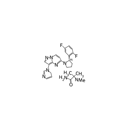 CNC(C)(C)C(N)=O.Fc1ccc(F)c([C@H]2CCCN2c2ccn3ncc(N4C=NC=CC4)c3n2)c1